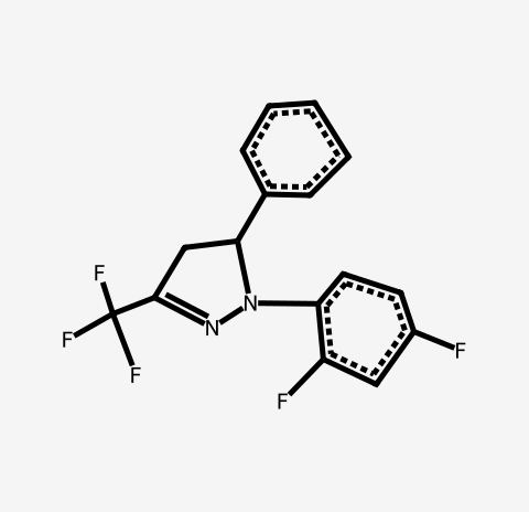 Fc1ccc(N2N=C(C(F)(F)F)CC2c2ccccc2)c(F)c1